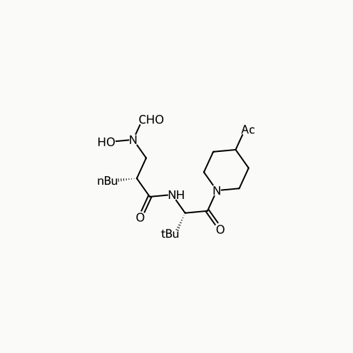 CCCC[C@H](CN(O)C=O)C(=O)N[C@H](C(=O)N1CCC(C(C)=O)CC1)C(C)(C)C